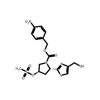 CS(=O)(=O)O[C@@H]1C[C@@H](c2nc(CO)cs2)N(C(=O)OCc2ccc([N+](=O)[O-])cc2)C1